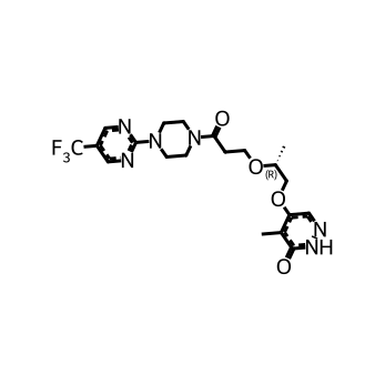 Cc1c(OC[C@@H](C)OCCC(=O)N2CCN(c3ncc(C(F)(F)F)cn3)CC2)cn[nH]c1=O